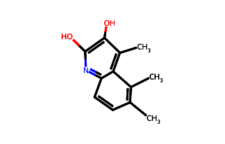 Cc1ccc2nc(O)c(O)c(C)c2c1C